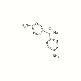 Nc1ccc(Cc2ccc(N)cc2)cc1.[Na][Cl]